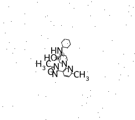 Cc1ccc(-c2noc(C)n2)c(N2CC[C@H](NC3CCCCC3)[C@H](O)C2)n1